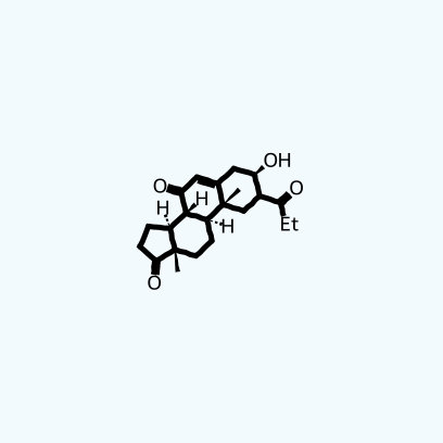 CCC(=O)C1C[C@@]2(C)C(=CC(=O)[C@@H]3[C@@H]2CC[C@]2(C)C(=O)CC[C@@H]32)C[C@H]1O